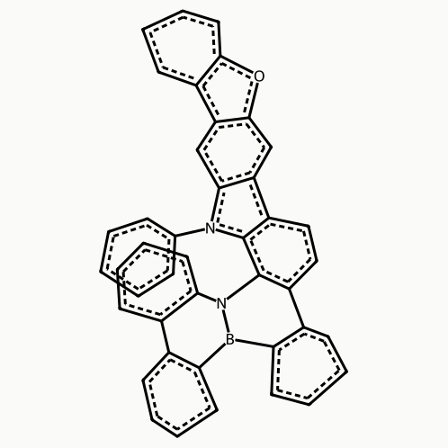 c1ccc(-n2c3cc4c(cc3c3ccc5c(c32)N2B(c3ccccc3-c3ccccc32)c2ccccc2-5)oc2ccccc24)cc1